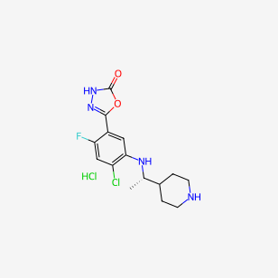 C[C@H](Nc1cc(-c2n[nH]c(=O)o2)c(F)cc1Cl)C1CCNCC1.Cl